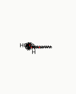 CCCCCCCCCCCCCCCCCCNC(=O)CCc1ccccc1C1CN(C)CCN1C(=O)O